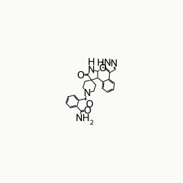 COC1NC(=O)C2(CCN(C(=O)c3ccccc3C(N)=O)CC2)C1c1ccccc1-c1cn[nH]c1